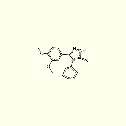 COc1ccc(-c2n[nH]c(=S)n2-c2ccccc2)cc1OC